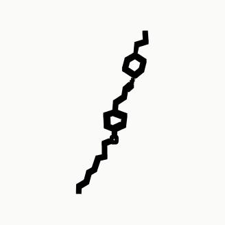 CCCCCCCCOc1ccc(CCC=C[C@H]2CC[C@H](CCC)CC2)cc1